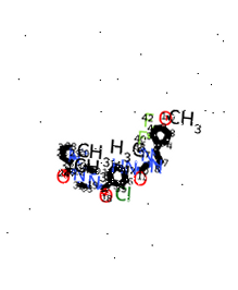 COc1ccc(-c2cnc(C(=O)Nc3ccc(C(=O)N4CCN(C(=O)[C@@H]5C=CC[N+]5(C)C)CC4)c(Cl)c3)n2C)c(F)c1F